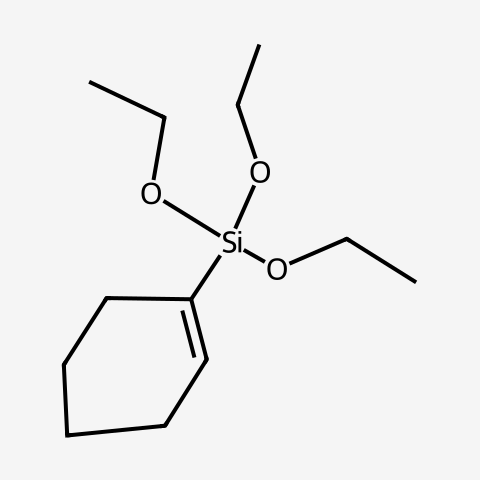 CCO[Si](OCC)(OCC)C1=CCCCC1